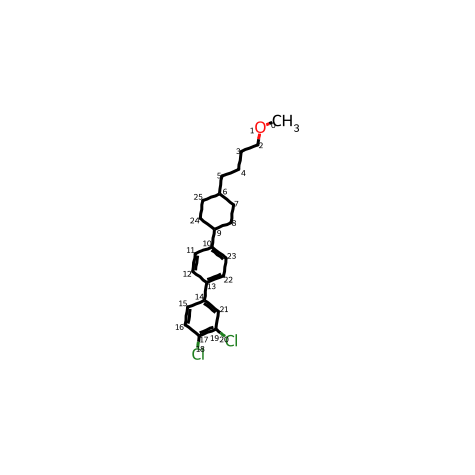 COCCCCC1CCC(c2ccc(-c3ccc(Cl)c(Cl)c3)cc2)CC1